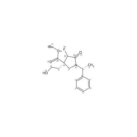 C[C@H](c1ccccc1)N1C[C@@](CCO)(C(=O)OC(C)(C)C)C(F)C1=O